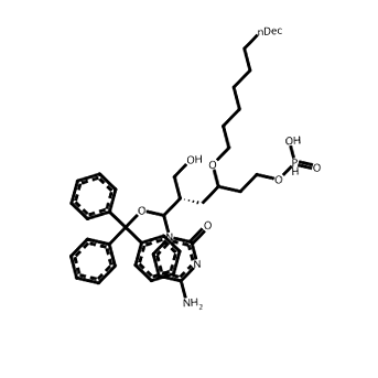 CCCCCCCCCCCCCCCCOC(CCO[PH](=O)O)C[C@@H](CO)C(OC(c1ccccc1)(c1ccccc1)c1ccccc1)n1ccc(N)nc1=O